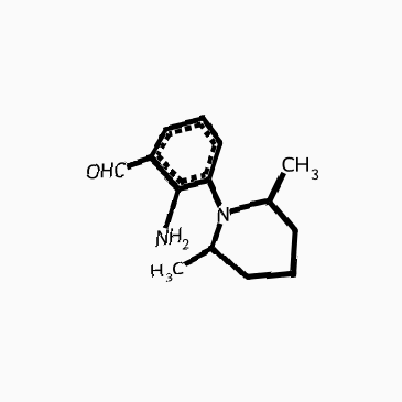 CC1CCCC(C)N1c1cccc(C=O)c1N